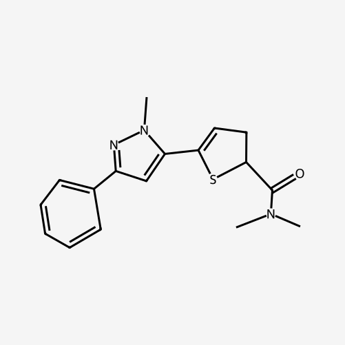 CN(C)C(=O)C1CC=C(c2cc(-c3ccccc3)nn2C)S1